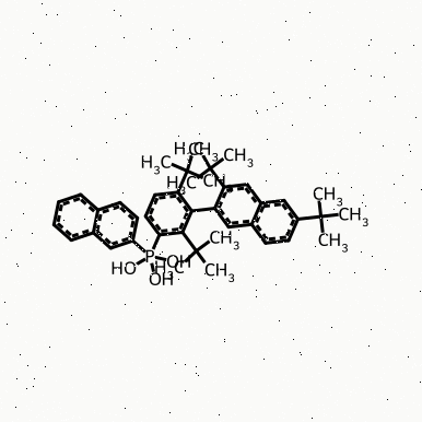 CC(C)(C)c1ccc2cc(-c3c(C(C)(C)C)ccc(P(O)(O)(O)c4ccc5ccccc5c4)c3C(C)(C)C)c(C(C)(C)C)cc2c1